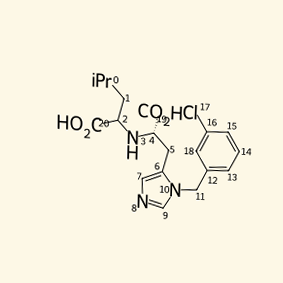 CC(C)CC(N[C@@H](Cc1cncn1Cc1cccc(Cl)c1)C(=O)O)C(=O)O